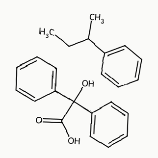 CCC(C)c1ccccc1.O=C(O)C(O)(c1ccccc1)c1ccccc1